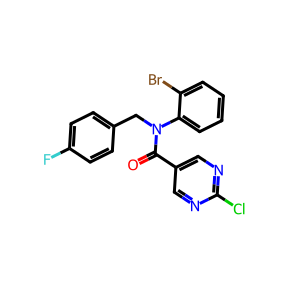 O=C(c1cnc(Cl)nc1)N(Cc1ccc(F)cc1)c1ccccc1Br